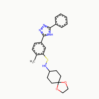 Cc1ccc(-c2nnc(-c3ccccc3)[nH]2)cc1SNC1CCC2(CC1)OCCO2